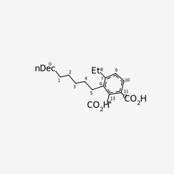 CCCCCCCCCCCCCCCc1c(CC)ccc(C(=O)O)c1C(=O)O